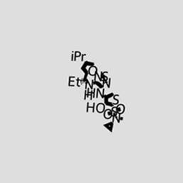 CC[C@@H](Nc1nsnc1Nc1csc(S(=O)(=O)N(C)C2CC2)c1O)c1cc(C(C)C)co1